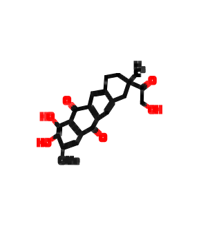 COc1cc2c(c(O)c1O)C(=O)c1cc3c(cc1C2=O)CC(C)(C(=O)CO)CC3